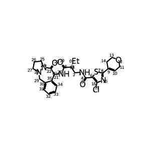 CC[C@H](CNC(=O)c1sc(C2=CCOCC2)nc1Cl)C(=O)N[C@@H]1C(=O)N2CCCN2Cc2ccccc21